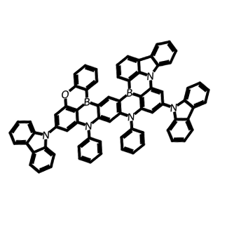 c1ccc(N2c3cc4c(cc3B3c5ccccc5Oc5cc(-n6c7ccccc7c7ccccc76)cc2c53)B2c3c(cc(-n5c6ccccc6c6ccccc65)cc3-n3c5ccccc5c5cccc2c53)N4c2ccccc2)cc1